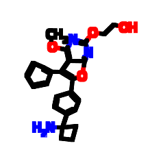 COc1nc(OCCO)nc2oc(-c3ccc(C4(N)CCC4)cc3)c(-c3ccccc3)c12